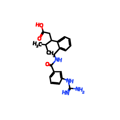 CC(C)C(CC(=O)O)c1ccccc1CNC(=O)c1cccc(NC(=N)N)c1